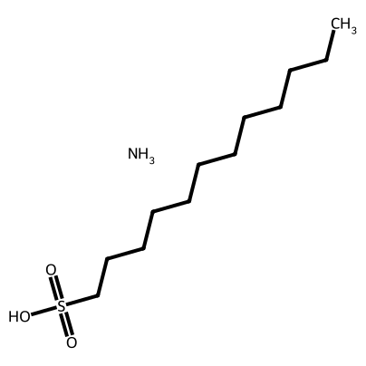 CCCCCCCCCCCCS(=O)(=O)O.N